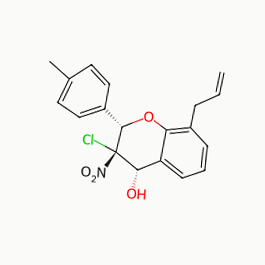 C=CCc1cccc2c1O[C@@H](c1ccc(C)cc1)[C@](Cl)([N+](=O)[O-])[C@H]2O